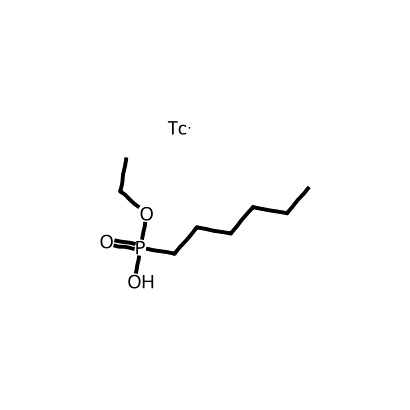 CCCCCCP(=O)(O)OCC.[Tc]